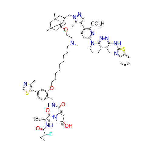 Cc1ncsc1-c1ccc(CNC(=O)[C@@H]2C[C@@H](O)CN2C(=O)[C@@H](NC(=O)C2(F)CC2)C(C)(C)C)c(OCCCCCCCCCN(C)CCOC23CC4(C)CC(C)(CC(Cn5ncc(-c6ccc(N7CCCc8c7nnc(Nc7nc9ccccc9s7)c8C)nc6C(=O)O)c5C)(C4)C2)C3)c1